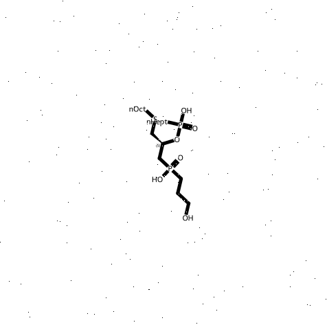 CCCCCCCCSC[C@H](CP(=O)(O)CCCO)OP(=O)(O)CCCCCCC